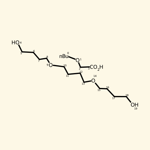 CCCCOCC(=O)O.OCCCCOCCCCOCCCCO